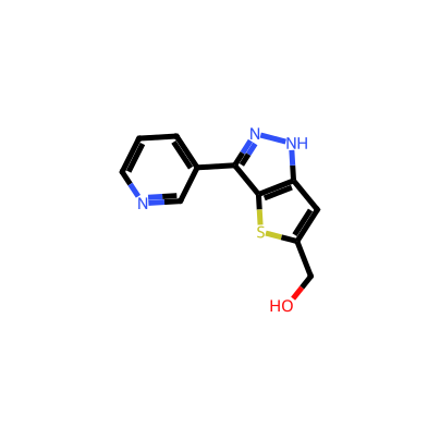 OCc1cc2[nH]nc(-c3cccnc3)c2s1